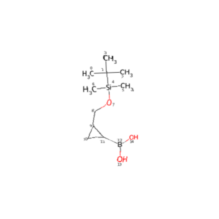 CC(C)(C)[Si](C)(C)OCC1CC1B(O)O